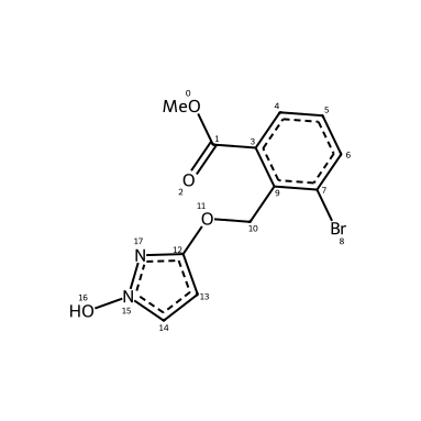 COC(=O)c1cccc(Br)c1COc1ccn(O)n1